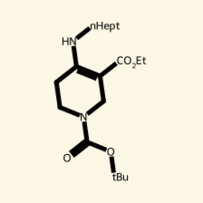 CCCCCCCNC1=C(C(=O)OCC)CN(C(=O)OC(C)(C)C)CC1